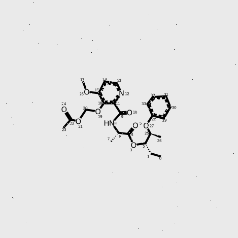 CC[C@H](OC(=O)[C@H](C)NC(=O)c1nccc(OC)c1OCOC(C)=O)[C@H](C)Oc1ccccc1